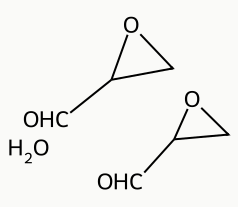 O.O=CC1CO1.O=CC1CO1